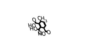 CC1C=CC(C(=O)O)C(C(=O)O)=C1C(=O)O